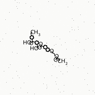 C=CC(=O)OCCCOc1ccc2cc(C(=O)Oc3ccc(C(OO)c4ccc(CC)cc4)cc3CO)ccc2c1